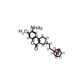 CC(=O)Nc1cc2c3c(c(=O)oc2cc1C)CN(CCN1CC2CCC(CC2)C1)CC3